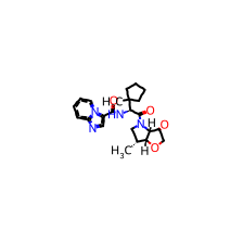 C[C@@H]1CN(C(=O)[C@@H](NC(=O)c2cnc3ccccn23)C2(C)CCCC2)[C@@H]2C(=O)CO[C@H]12